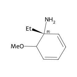 CC[C@@]1(N)C=CC=CC1OC